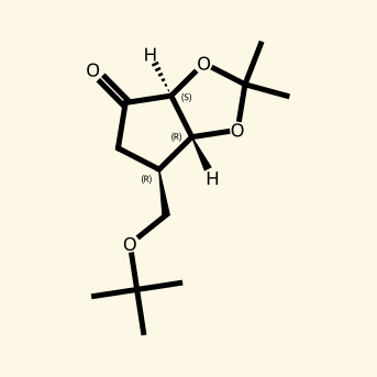 CC(C)(C)OC[C@H]1CC(=O)[C@H]2OC(C)(C)O[C@H]12